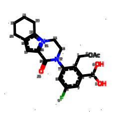 CC(=O)OCc1c(B(O)O)cc(F)cc1N1CCn2c(cc3c2CCCC3)C1=O